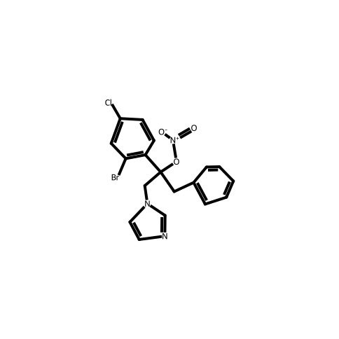 O=[N+]([O-])OC(Cc1ccccc1)(Cn1ccnc1)c1ccc(Cl)cc1Br